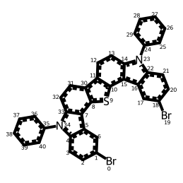 Brc1ccc2c(c1)c1c3sc4c(ccc5c4c4cc(Br)ccc4n5-c4ccccc4)c3ccc1n2-c1ccccc1